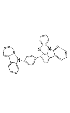 c1ccc2c(c1)Sc1c(-c3ccc(-n4c5ccccc5c5ccccc54)cc3)ccc3c4ccccc4n-2c13